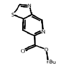 CCCCOC(=O)c1cc2scnc2cn1